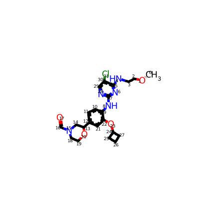 COCCNc1nc(Nc2ccc(C3CN(C=O)CCO3)cc2OC2CCC2)ncc1Cl